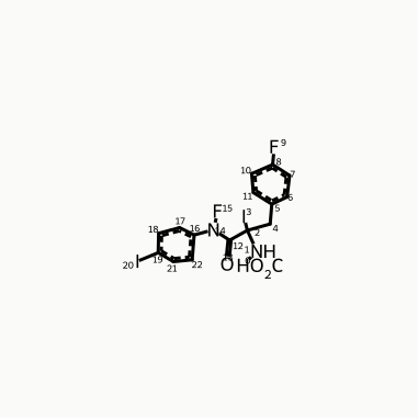 O=C(O)NC(I)(Cc1ccc(F)cc1)C(=O)N(F)c1ccc(I)cc1